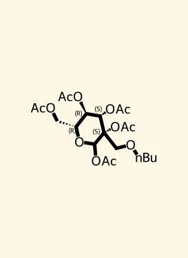 CCCCOC[C@@]1(OC(C)=O)C(OC(C)=O)O[C@H](COC(C)=O)[C@@H](OC(C)=O)[C@@H]1OC(C)=O